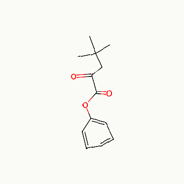 CC(C)(C)CC(=O)C(=O)Oc1ccccc1